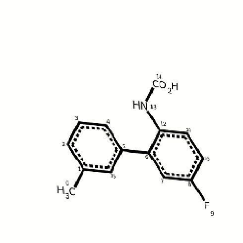 Cc1cccc(-c2cc(F)ccc2NC(=O)O)c1